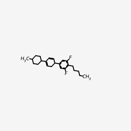 CCCCCc1c(F)cc(C2C=CC(C3CCC(C)CC3)=CC2)cc1F